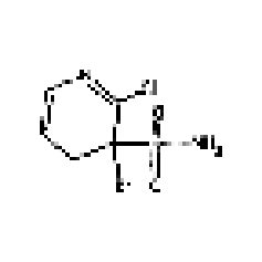 NS(=O)(=O)C1(Br)CC=CN=C1Cl